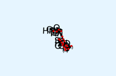 C[C@H]1C=C2C=C[C@H](C)[C@H](CC[C@@H]3C[C@@H](O[Si](C)(C)C(C)(C)C)CC(=O)O3)[C@H]2[C@@H](OC(=O)NCCCCCCCNc2cccc3c2C(=O)N(C2CCC(=O)NC2=O)C3=O)C1